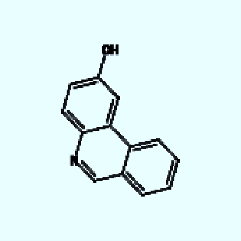 Oc1ccc2ncc3ccccc3c2c1